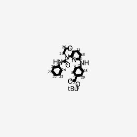 CC(C)(C)OC(=O)c1ccc(Nc2ccc3c(n2)N(C(=O)Nc2ccccc2)CCO3)cc1